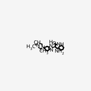 CC(C)N1CCN(c2ccc3nc(-c4c(N)c5ccccc5[nH]c4=O)[nH]c3c2)[C@@H](C)C1